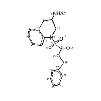 CC(=O)N[C@@H]1Cc2ccccc2N(S(=O)(=O)C(=O)OCc2ccccc2)C1